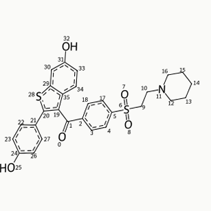 O=C(c1ccc(S(=O)(=O)CCN2CCCCC2)cc1)c1c(-c2ccc(O)cc2)sc2cc(O)ccc12